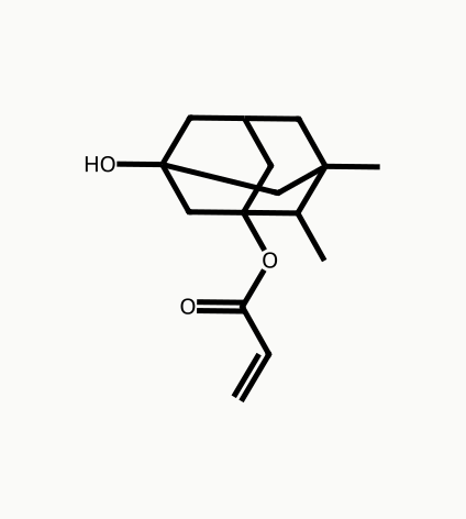 C=CC(=O)OC12CC3CC(O)(CC(C)(C3)C1C)C2